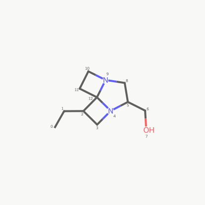 CCC1CN2C(CO)CN3CCC132